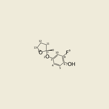 C[C@]1(Oc2ccc(O)c(F)c2)CCCO1